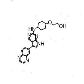 OCCOC1CCC(Nc2ncc3c(-c4ccc5nccnc5c4)c[nH]c3n2)CC1